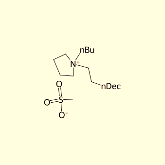 CCCCCCCCCCCC[N+]1(CCCC)CCCC1.CS(=O)(=O)[O-]